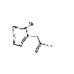 C=C(C#N)Cc1ccccc1O